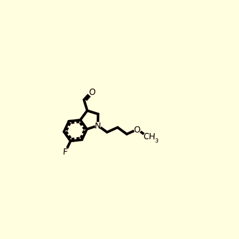 COCCCN1CC(C=O)c2ccc(F)cc21